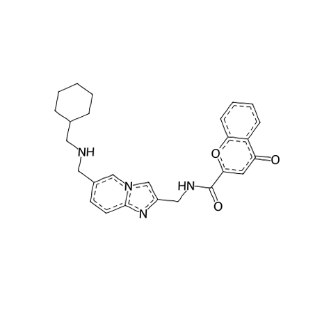 O=C(NCc1cn2cc(CNCC3CCCCC3)ccc2n1)c1cc(=O)c2ccccc2o1